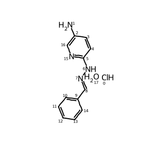 Cl.Nc1ccc(N/N=C/c2ccccc2)nc1.O